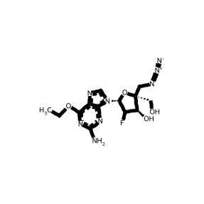 CCOc1nc(N)nc2c1ncn2[C@@H]1O[C@@](CO)(CN=[N+]=[N-])[C@@H](O)C1F